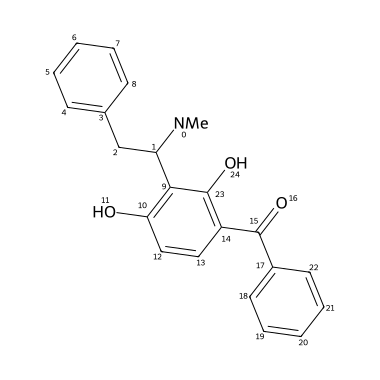 CNC(Cc1ccccc1)c1c(O)ccc(C(=O)c2ccccc2)c1O